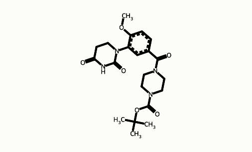 COc1ccc(C(=O)N2CCN(C(=O)OC(C)(C)C)CC2)cc1N1CCC(=O)NC1=O